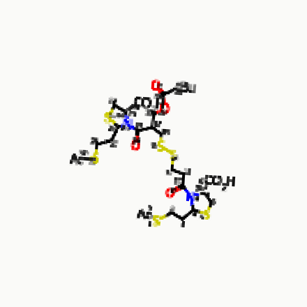 CC(=O)SCCC1SC[C@@H](C(=O)O)N1C(=O)CCSSCC(COC(=O)C(C)(C)C)C(=O)N1C(CCSC(C)=O)SC[C@H]1C(=O)O